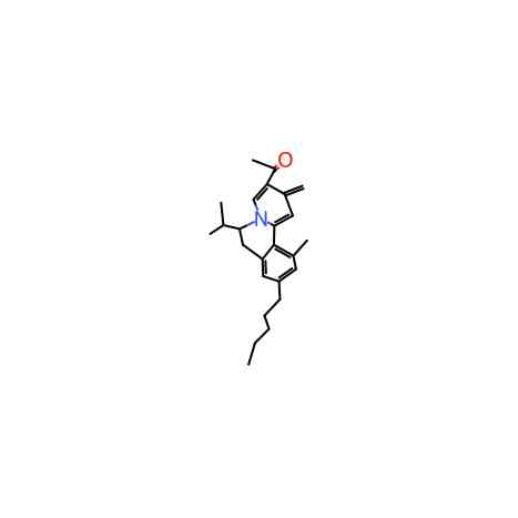 C=C1C=C2c3c(C)cc(CCCCC)cc3CC(C(C)C)N2C=C1C(C)=O